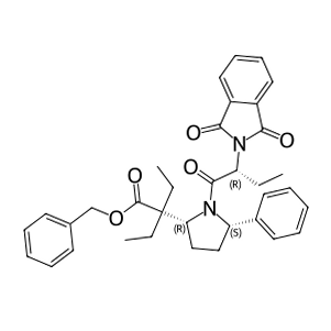 CC[C@H](C(=O)N1[C@H](c2ccccc2)CC[C@@H]1C(CC)(CC)C(=O)OCc1ccccc1)N1C(=O)c2ccccc2C1=O